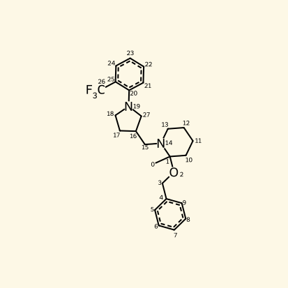 CC1(OCc2ccccc2)CCCCN1CC1CCN(c2ccccc2C(F)(F)F)C1